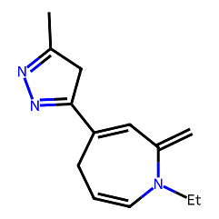 C=C1C=C(C2=NN=C(C)C2)CC=CN1CC